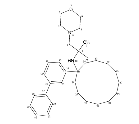 CC(O)(CN1CCOCC1)NC1(c2cccc(-c3ccccc3)c2)CCCCCCCCCCC1